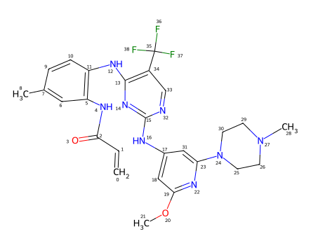 C=CC(=O)Nc1cc(C)ccc1Nc1nc(Nc2cc(OC)nc(N3CCN(C)CC3)c2)ncc1C(F)(F)F